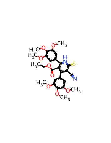 CCOC(=O)c1c(-c2cc(OC)c(OC)c(OC)c2)[nH]c(=S)c(C#N)c1-c1cc(OC)c(OC)c(OC)c1